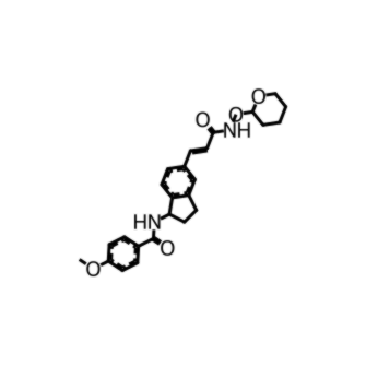 COc1ccc(C(=O)NC2CCc3cc(C=CC(=O)NOC4CCCCO4)ccc32)cc1